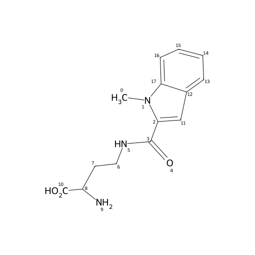 Cn1c(C(=O)NCCC(N)C(=O)O)cc2ccccc21